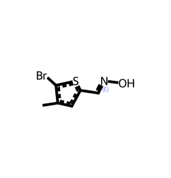 Cc1cc(/C=N/O)sc1Br